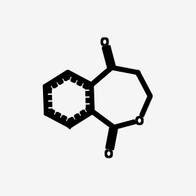 O=C1OCCC(=O)c2ccc[c]c21